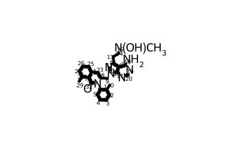 Cc1ccccc1-n1c(Cn2nc(CCN(C)O)c3c(N)ncnc32)cc2cccc(C)c2c1=O